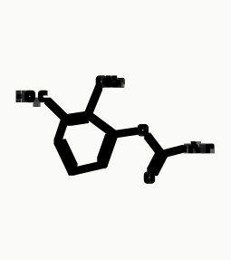 CCCCCCCCCC(=O)Oc1cccc(C(=O)O)c1OC